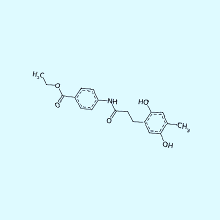 CCOC(=O)c1ccc(NC(=O)CCc2cc(O)c(C)cc2O)cc1